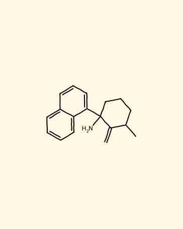 C=C1C(C)CCCC1(N)c1cccc2ccccc12